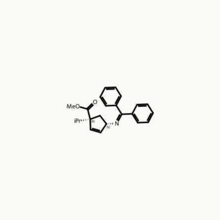 COC(=O)[C@]1(C(C)C)C=C[C@@H](N=C(c2ccccc2)c2ccccc2)C1